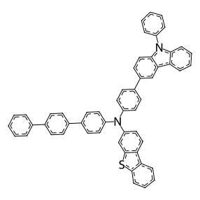 c1ccc(-c2ccc(-c3ccc(N(c4ccc(-c5ccc6c(c5)c5ccccc5n6-c5ccccc5)cc4)c4ccc5c(c4)sc4ccccc45)cc3)cc2)cc1